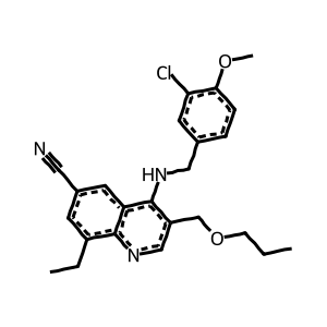 CCCOCc1cnc2c(CC)cc(C#N)cc2c1NCc1ccc(OC)c(Cl)c1